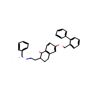 C[C@H](NCCC1CCc2cc(OCc3ccccc3-c3ccccc3)ccc2C1O)c1ccccc1